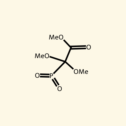 COC(=O)C(OC)(OC)P(=O)=O